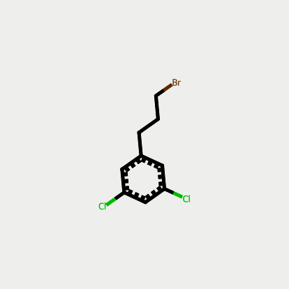 Clc1cc(Cl)cc(CCCBr)c1